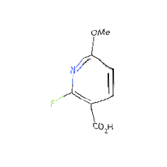 COc1ccc(C(=O)O)c(F)n1